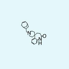 O=C1CCC2(CCN(CC3CC4C=CCC3C4)CC2)c2ccccc2N1